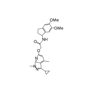 COc1cc2c(cc1OC)C(NC(=O)COc1cc(C)c3c(C4CC4)nn(C)c3n1)CC2